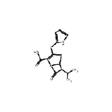 CC(C)C1C(=O)N2C(C(=O)O)=C(Sc3ccc[nH]3)CC12